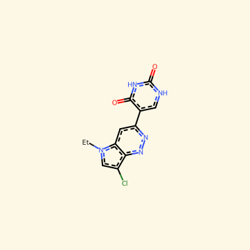 CCn1cc(Cl)c2nnc(-c3c[nH]c(=O)[nH]c3=O)cc21